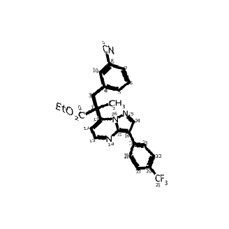 CCOC(=O)C(C)(Cc1cccc(C#N)c1)c1ccnc2c(-c3ccc(C(F)(F)F)cc3)cnn12